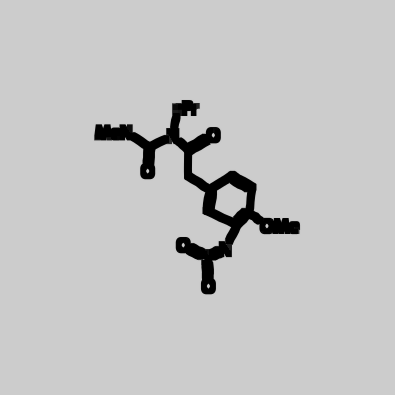 CCCN(C(=O)Cc1ccc(OC)c(N=S(=O)=O)c1)C(=O)NC